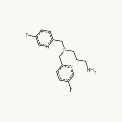 NCCCN(Cc1ccc(F)cn1)Cc1ccc(F)cn1